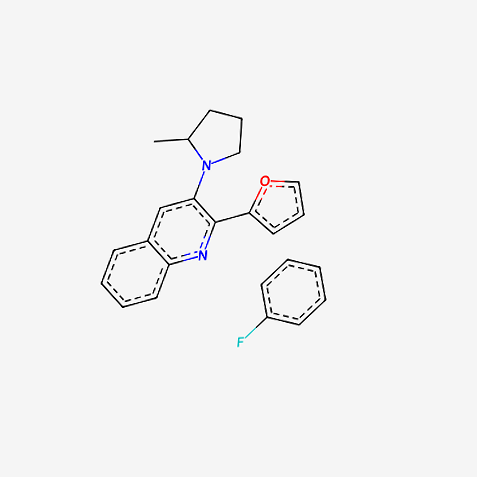 CC1CCCN1c1cc2ccccc2nc1-c1ccco1.Fc1ccccc1